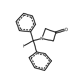 O=C1CN(C(I)(c2ccccc2)c2ccccc2)C1